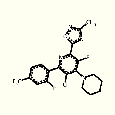 Cc1noc(-c2nc(-c3ccc(C(F)(F)F)cc3F)c(Cl)c(N3CCCCC3)c2F)n1